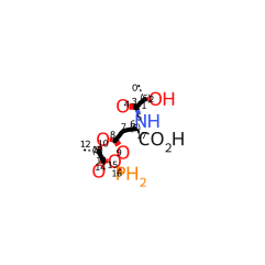 C[C@H](O)C(=O)N[C@@H](CC(=O)O[C@@H](C)C(=O)OP)C(=O)O